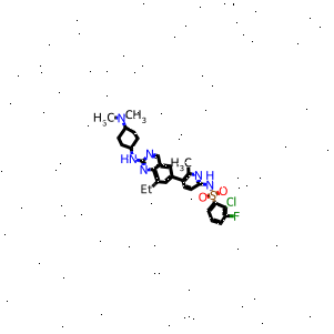 CCc1cc(-c2ccc(NS(=O)(=O)c3cccc(F)c3Cl)nc2C)cc2cnc(NC3CCC(N(C)C)CC3)nc12